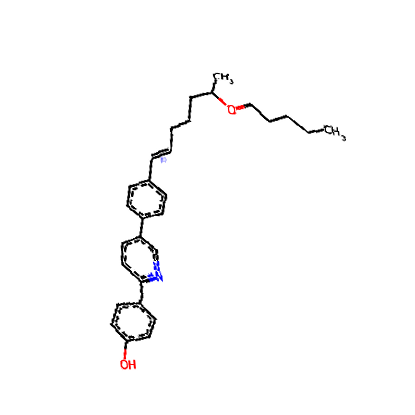 CCCCCOC(C)CCC/C=C/c1ccc(-c2ccc(-c3ccc(O)cc3)nc2)cc1